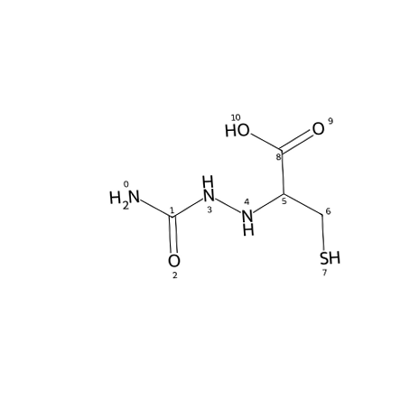 NC(=O)NNC(CS)C(=O)O